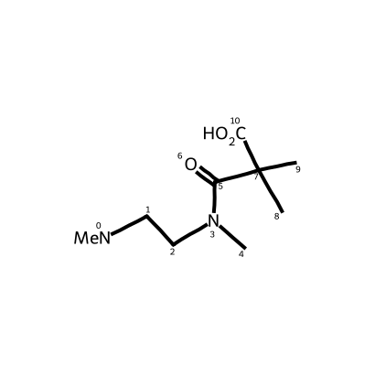 CNCCN(C)C(=O)C(C)(C)C(=O)O